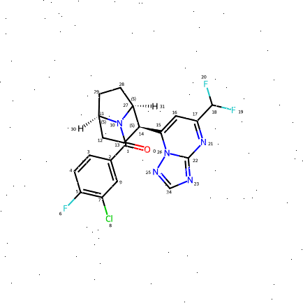 O=C(c1ccc(F)c(Cl)c1)N1[C@H]2CC[C@H](c3cc(C(F)F)nc4ncnn34)[C@@H]1CC2